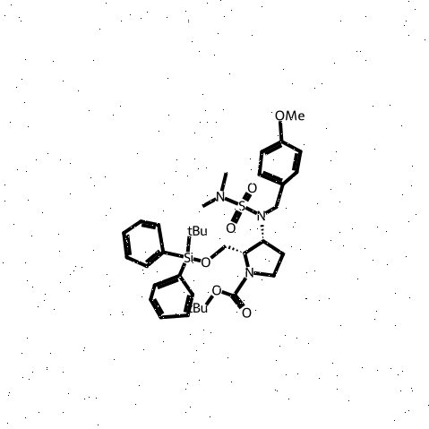 COc1ccc(CN([C@@H]2CCN(C(=O)OC(C)(C)C)[C@@H]2CO[Si](c2ccccc2)(c2ccccc2)C(C)(C)C)S(=O)(=O)N(C)C)cc1